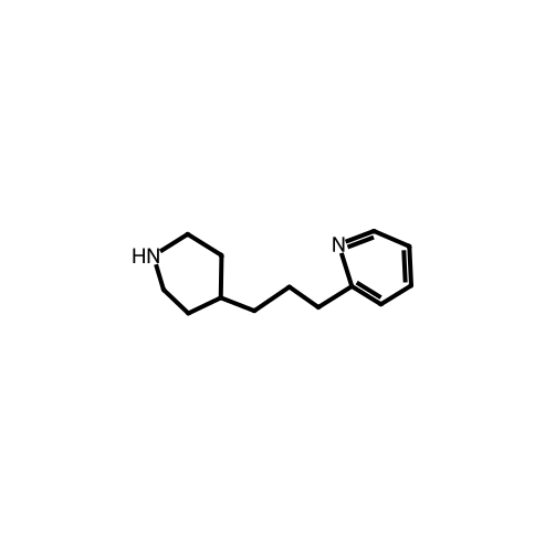 c1ccc(CCCC2CCNCC2)nc1